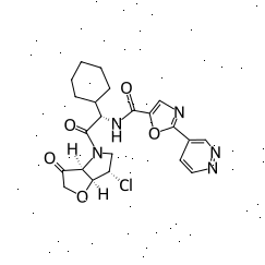 O=C(N[C@H](C(=O)N1C[C@H](Cl)[C@H]2OCC(=O)[C@H]21)C1CCCCC1)c1cnc(-c2ccnnc2)o1